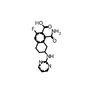 NC(=O)c1c2c(cc(F)c1C(=O)O)CCC(Nc1ncccn1)C2